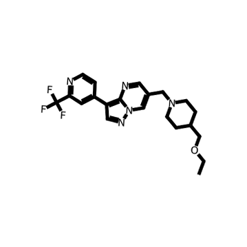 CCOCC1CCN(Cc2cnc3c(-c4ccnc(C(F)(F)F)c4)cnn3c2)CC1